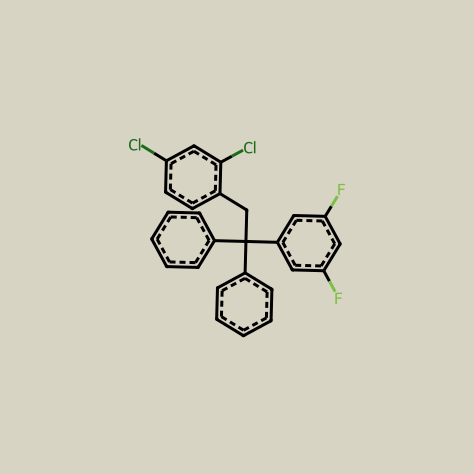 Fc1cc(F)cc(C(Cc2ccc(Cl)cc2Cl)(c2ccccc2)c2ccccc2)c1